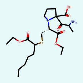 CCCCCC(SC[C@@H](C(=O)OCC)N1CCCC1(C(=O)O)C(=O)C(C)N)C(=O)OCC